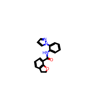 O=C(Nc1ccccc1-n1cccn1)c1cccc2c1OCC2